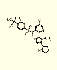 Cn1c(-c2ncc(Cl)cc2NS(=O)(=O)c2ccc(C(C)(C)C)cc2)nnc1C1CCCN1